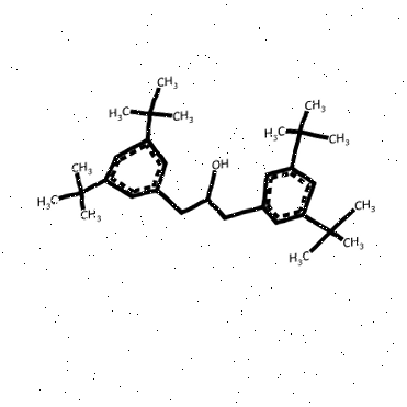 CC(C)(C)c1cc(CC(O)Cc2cc(C(C)(C)C)cc(C(C)(C)C)c2)cc(C(C)(C)C)c1